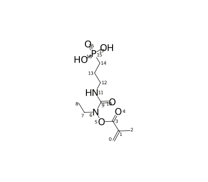 C=C(C)C(=O)ON(CC)C(=O)NCCCP(=O)(O)O